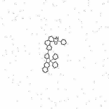 c1ccc(-c2nc3ccc4ccc5cc(-c6ccc7c(c6)C(c6ccccc6)(c6ccccc6)c6cc8ccccc8cc6-7)ccc5c4c3o2)cc1